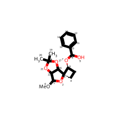 COC1O[C@@]2(CC[C@H]2OC(O)c2ccccc2)C2OC(C)(C)OC12